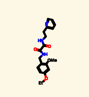 CCOc1ccc(CNC(=O)C(=O)NCCc2ccccn2)c(OC)c1